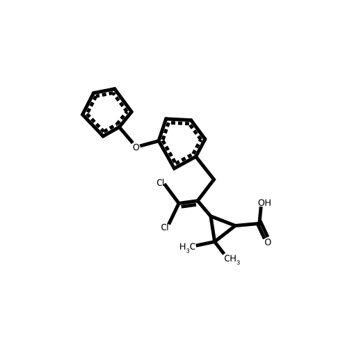 CC1(C)C(C(=O)O)C1C(Cc1cccc(Oc2ccccc2)c1)=C(Cl)Cl